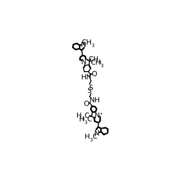 Cn1cc(-c2cc[n+]3c(c2)C(C)(C)C2=CC(C(=O)NCCSSCCNC(=O)c4ccc5c(c4)C(C)(C)c4cc(-c6cn(C)c7ccccc67)cc[n+]4-5)CC=C23)c2ccccc21